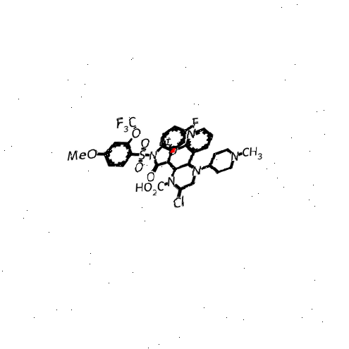 CCOc1ncccc1C1C(C2C(=O)N(S(=O)(=O)c3ccc(OC)cc3OC(F)(F)F)c3ccc(F)cc32)N(C(=O)O)C(Cl)CN1C1CCN(C)CC1